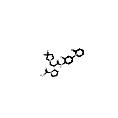 NC(=O)N1C[CH]C[C@H]1C(CN1CCC(F)(F)C1)C(=O)Nc1ccc(-n2ccccc2=O)cc1F